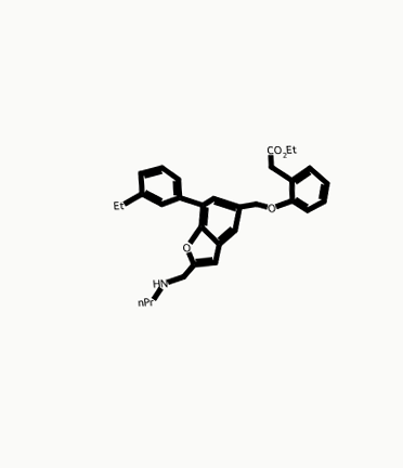 CCCNCc1cc2cc(COc3ccccc3CC(=O)OCC)cc(-c3cccc(CC)c3)c2o1